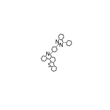 c1ccc(-c2nc(-c3ccc(-c4nc5ccccc5c5c4ccc4c6ccccc6sc45)cc3)nc3ccccc23)cc1